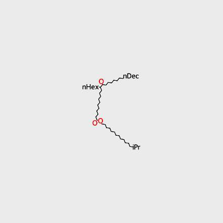 CCCCCCCCCCCCCCCCCC(=O)C(CCCCCC)CCCCCCCCCCC(=O)OCCCCCCCCCCCCCC(C)C